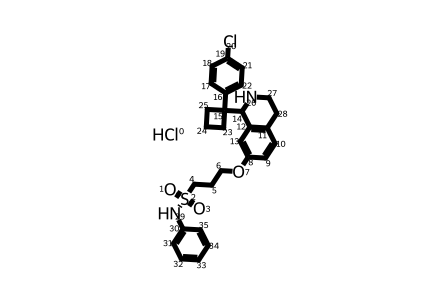 Cl.O=S(=O)(CCCOc1ccc2c(c1)C(C1(c3ccc(Cl)cc3)CCC1)NCC2)Nc1ccccc1